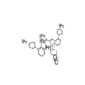 CC(C)CC1=Cc2c(-c3ccc(C(C)C)cc3)cccc2[CH]1[Hf+2]1([CH]2C(CC(C)C)=Cc3c(-c4ccc(C(C)C)cc4)cccc32)[CH]2CCCC[CH]21.[Cl-].[Cl-]